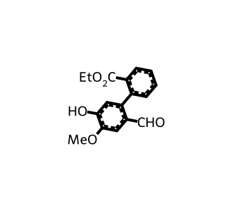 CCOC(=O)c1ccccc1-c1cc(O)c(OC)cc1C=O